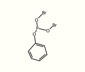 BrOP(OBr)Oc1ccccc1